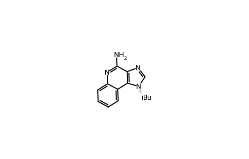 [CH2]C[C@@H](C)n1cnc2c(N)nc3ccccc3c21